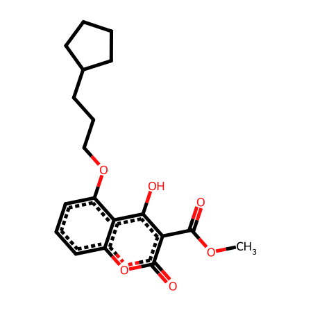 COC(=O)c1c(O)c2c(OCCCC3CCCC3)cccc2oc1=O